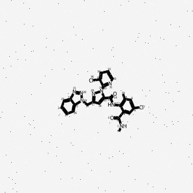 CNC(=O)c1cc(Cl)cc(C)c1NC(=O)c1cc(Cn2nnc3ccccc32)nn1-c1ncccc1Cl